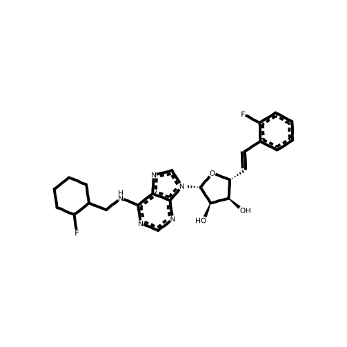 O[C@@H]1[C@H](O)[C@@H](C=Cc2ccccc2F)O[C@H]1n1cnc2c(NCC3CCCCC3F)ncnc21